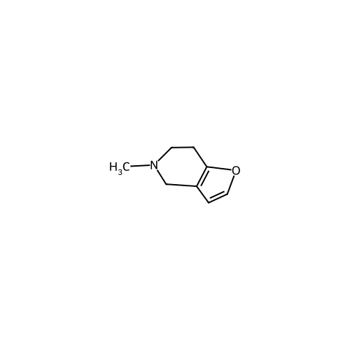 CN1CCc2occc2C1